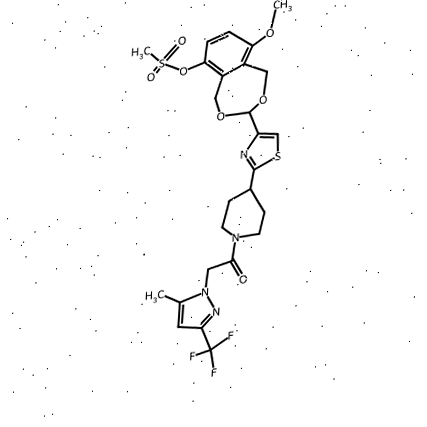 COc1ccc(OS(C)(=O)=O)c2c1COC(c1csc(C3CCN(C(=O)Cn4nc(C(F)(F)F)cc4C)CC3)n1)OC2